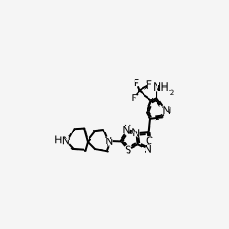 Nc1ncc(-c2cnc3sc(N4CCC5(CCNCC5)CC4)nn23)cc1C(F)(F)F